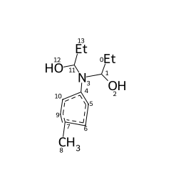 CCC(O)N(c1ccc(C)cc1)C(O)CC